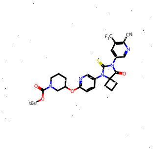 CC(C)(C)OC(=O)N1CCCC(Oc2ccc(N3C(=S)N(c4cnc(C#N)c(C(F)(F)F)c4)C(=O)C34CCC4)cn2)C1